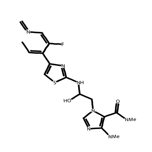 C=N/C=C(F)\C(=C/C)c1csc(NC(O)Cn2cnc(NC)c2C(=O)NC)n1